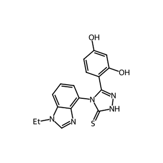 CCn1cnc2c(-n3c(-c4ccc(O)cc4O)n[nH]c3=S)cccc21